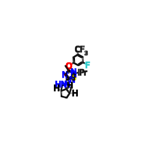 Cc1cc(N2C[C@H]3CC[C@@H](C2)[C@@H]3Nc2nc(Oc3cc(F)cc(C(F)(F)F)c3)n(C(C)C)n2)sn1